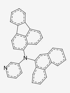 c1cncc(N(c2ccc3c4c(cccc24)-c2ccccc2-3)c2cc3ccccc3c3ccccc23)c1